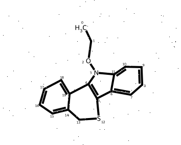 CCOn1c2c(c3ccccc31)SCc1ccccc1-2